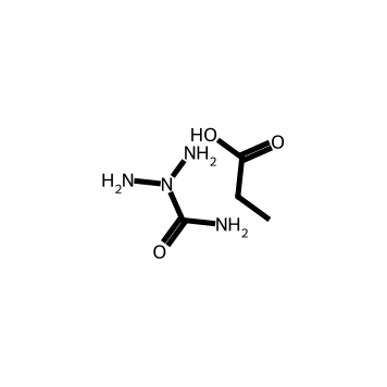 CCC(=O)O.NC(=O)N(N)N